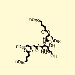 CCCCCCCCCCCCCC(=O)O[C@H](CCCCCCCCCCC)CC(=O)N[C@@H]([C@H](O)[C@H](O)CO)[C@H](C=O)NC(=O)C[C@@H](CCCCCCCCCCC)OC(=O)CCCCCCCCCCCCC